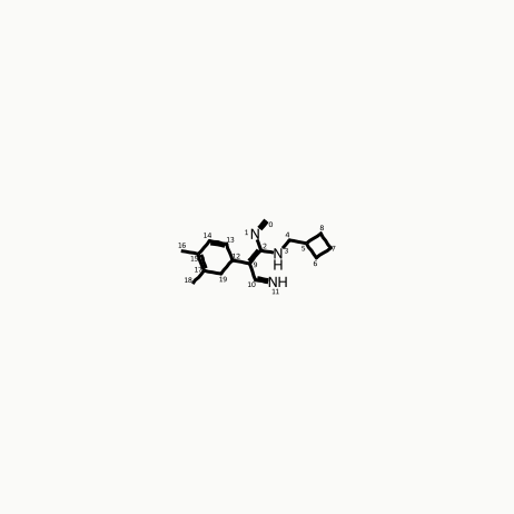 C=N/C(NCC1CCC1)=C(/C=N)C1C=CC(C)=C(C)C1